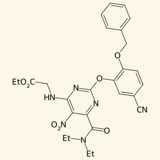 CCOC(=O)CNc1nc(Oc2cc(C#N)ccc2OCc2ccccc2)nc(C(=O)N(CC)CC)c1[N+](=O)[O-]